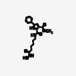 COC(=O)c1cc(-c2ccccc2)[nH]c1C(=O)NCCCCCC(=O)NO